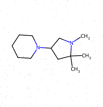 CN1CC(N2CCCCC2)CC1(C)C